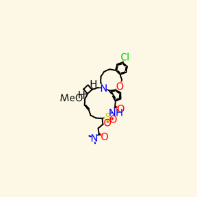 CO[C@H]1/C=C/CCC(CCC(=O)N(C)C)S(=O)(=O)NC(=O)c2ccc3c(c2)N(CCCCc2cc(Cl)ccc2CO3)C[C@@H]2CC[C@H]21